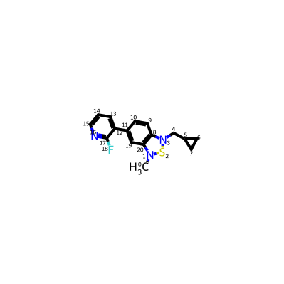 CN1SN(CC2CC2)c2ccc(-c3cccnc3F)cc21